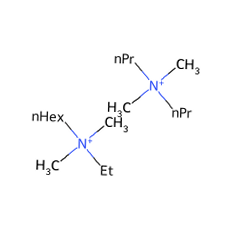 CCCCCC[N+](C)(C)CC.CCC[N+](C)(C)CCC